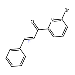 O=C(/C=C/c1ccccc1)c1cccc(Br)n1